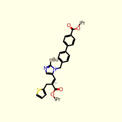 CCCCc1ncc(/C=C(\Cc2cccs2)C(=O)OC(C)C)n1Cc1ccc(-c2ccc(C(=O)OC(C)C)cc2)cc1